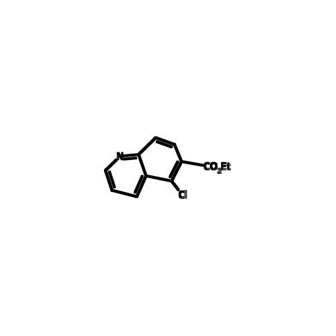 CCOC(=O)c1ccc2ncccc2c1Cl